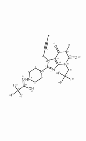 CC#CCn1c(N2CCNCC2)nc2c1c(=O)n(C)c(=O)n2CC(F)(F)F.O=C(O)C(F)(F)F